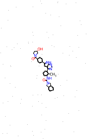 Cc1c(NC(=O)N2Cc3ccccc3C2)cccc1-c1ncnc2[nH]c(-c3ccc(C(=O)N4CC[C@@H](O)C4)cc3)cc12